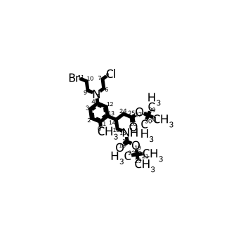 Cc1ccc(N(CCCl)CCBr)cc1C(CNC(=O)OC(C)(C)C)CC(=O)OC(C)(C)C